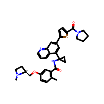 Cc1ccc(OC[C@@H]2CCN2C)cc1C(=O)NC1(c2cc(-c3ccc(C(=O)N4CCCC4)s3)cc3ncccc23)CC1